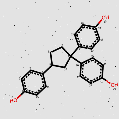 Oc1ccc(C2CCC(c3ccc(O)cc3)(c3ccc(O)cc3)C2)cc1